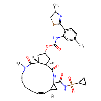 Cc1ccc(C2=NC(C)CS2)c(NC(=O)O[C@@H]2C[C@H]3C(=O)N[C@]4(C(=O)NS(=O)(=O)C5CC5)C[C@H]4/C=C\CCCCN(C)C(=O)[C@@H]3C2)c1